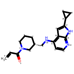 C=CC(=O)N1CCC[C@H](CNc2ccnc3[nH]c(C4CC4)cc23)C1